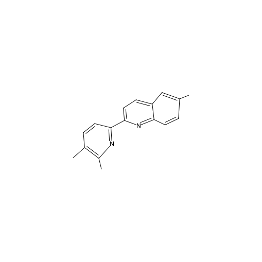 Cc1ccc2nc(-c3ccc(C)c(C)n3)ccc2c1